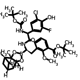 COc1c(C[C@H](NC(=O)C(NC(=O)OC(C)(C)C)c2cc(F)c(O)c(Cl)c2)B2O[C@@H]3C[C@@H]4C[C@@H](C4(C)C)[C@]3(C)O2)cccc1C(=O)OC(C)(C)C